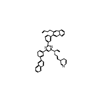 C=CCCC1=CC2C=CC=CC2C=C1c1cccc(-c2nc(C3=CCCC(c4ccc5ccccc5c4)=C3)cc([C@@H](C=C)C/C=C/C3C=NC=CC3)n2)c1